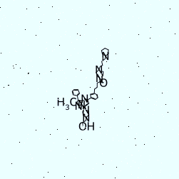 Cc1nn2c(N3CCN(CCO)CC3)cc(-c3cccc(CCCC(=O)N4CCN(CCCCN5CCCCC5)CC4)c3)nc2c1-c1ccccc1